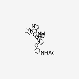 CC(=O)Nc1cccc(Oc2cccc(S(=O)(=O)NC(=O)c3cccnc3N3CCC(C)C3(C)C)n2)c1